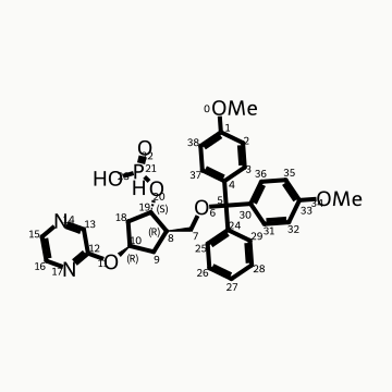 COc1ccc(C(OC[C@H]2C[C@@H](Oc3cnccn3)C[C@@H]2O[PH](=O)O)(c2ccccc2)c2ccc(OC)cc2)cc1